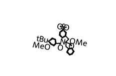 COC(=O)C1(Cc2ccccc2)Cc2cc(S(C)(=O)=O)ccc2N1C(=O)c1ccc(C(C)(C)C)c(OC)c1